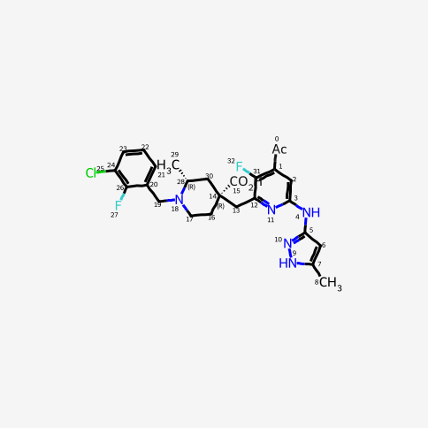 CC(=O)c1cc(Nc2cc(C)[nH]n2)nc(C[C@@]2(C(=O)O)CCN(Cc3cccc(Cl)c3F)[C@H](C)C2)c1F